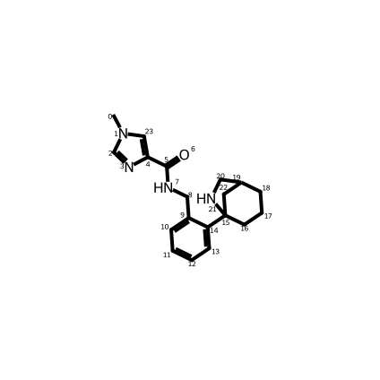 Cn1cnc(C(=O)NCc2ccccc2C23CCCC(CN2)C3)c1